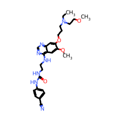 CCN(CCCOc1cc2ncnc(NCCNC(=O)Nc3ccc(C#N)cc3)c2cc1OC)CCOC